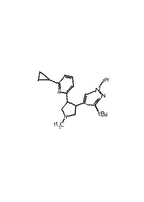 CC(C)n1cc(C2CN(C)CC2c2cccc(C3CC3)n2)c(C(C)(C)C)n1